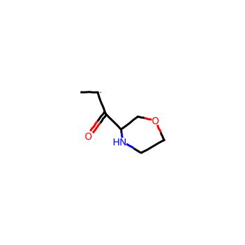 C[CH]C(=O)C1COCCN1